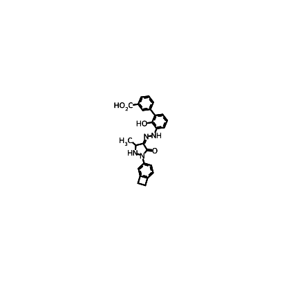 CC1NN(c2ccc3c(c2)CC3)C(=O)C1=NNc1cccc(-c2cccc(C(=O)O)c2)c1O